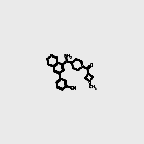 CN1CC(C(=O)N2CCC(N(N)c3cc(-c4cccc(C#N)c4)cc4c3C=NCC4)CC2)C1